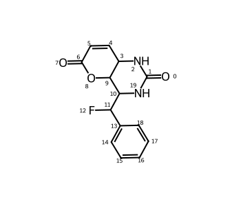 O=C1NC2C=CC(=O)OC2C(C(F)c2ccccc2)N1